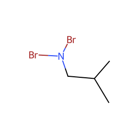 CC(C)CN(Br)Br